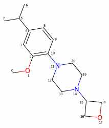 COc1cc(C(C)C)ccc1N1CCN(C2COC2)CC1